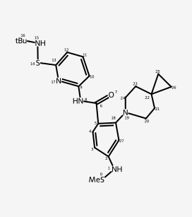 CSNc1ccc(C(=O)Nc2cccc(SNC(C)(C)C)n2)c(N2CCC3(CC2)CC3)c1